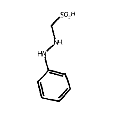 O=S(=O)(O)CNNc1ccccc1